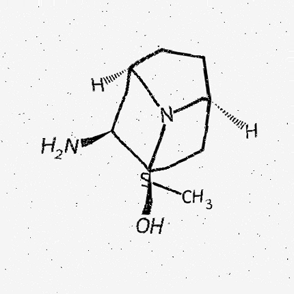 CSN1[C@H]2CC[C@@H]1[C@H](N)[C@H](O)C2